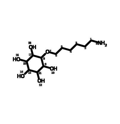 NCCCCCCOC1C(O)C(O)C(O)C(O)C1O